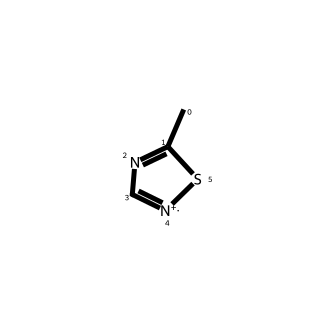 CC1=NC=[N+]S1